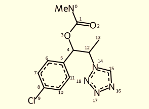 CNC(=O)OC(c1ccc(Cl)cc1)C(C)n1cnnn1